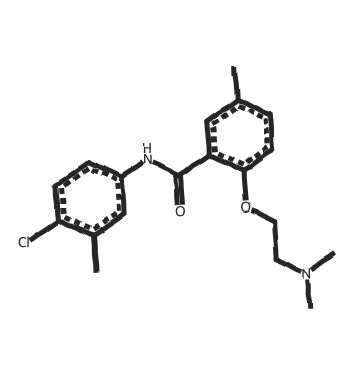 Cc1ccc(OCCN(C)C)c(C(=O)Nc2ccc(Cl)c(C)c2)c1